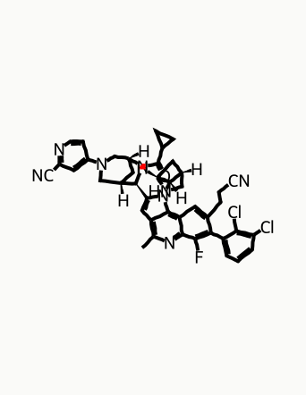 Cc1nc2c(F)c(-c3cccc(Cl)c3Cl)c(CCC#N)cc2c2c1cc([C@H]1[C@H]3C[C@H](CN(c4ccnc(C#N)c4)C3)N1C(=O)C1CC1)n2[C@H]1[C@H]2CN[C@@H]1C2